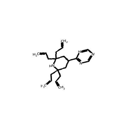 C=CCC1(CC=C)CC(c2ncncn2)CC(CC=C)(CC=C)N1